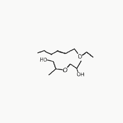 CC(O)COC(C)CO.CCCCCCOCC